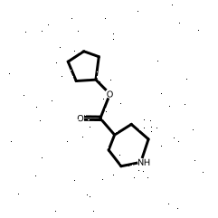 O=C(OC1CCCC1)C1CCNCC1